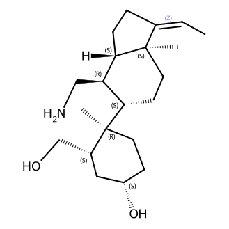 C/C=C1/CC[C@H]2[C@H](CN)[C@@H]([C@@]3(C)CC[C@H](O)C[C@@H]3CO)CC[C@]12C